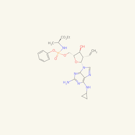 C=C[C@H]1[C@H](O)[C@@H](COP(=O)(N[C@@H](C)C(=O)OCC)Oc2ccccc2)O[C@H]1n1cnc2c(NC3CC3)nc(N)nc21